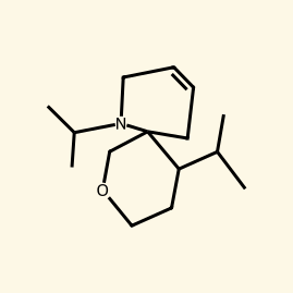 CC(C)C1CCOCC12CC=CCN2C(C)C